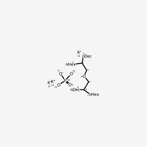 CCCCCCCCCCC(CCCCCC)COCC(CCCCCC)CCCCCCCCCC.O=P([O-])([O-])[O-].[K+].[K+].[K+]